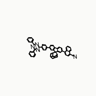 N#Cc1ccc(-c2ccc3c(c2)C2(c4cc(-c5ccc(-c6nc(-c7ccccc7)nc(-c7ccccc7)n6)cc5)ccc4-3)C3CC4CC(C3)CC2C4)c2ccccc12